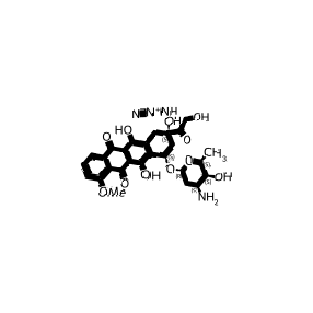 COc1cccc2c1C(=O)c1c(O)c3c(c(O)c1C2=O)C[C@@](O)(C(=O)CO)C[C@@H]3O[C@H]1C[C@H](N)[C@H](O)[C@H](C)O1.[N-]=[N+]=N